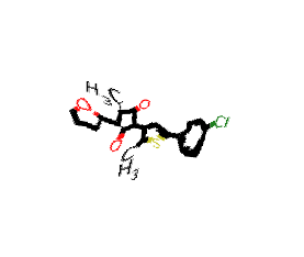 Cc1sc(-c2ccc(Cl)cc2)cc1C1C(=O)[C@H]([C@H]2CCCO2)[C@H](C)C1=O